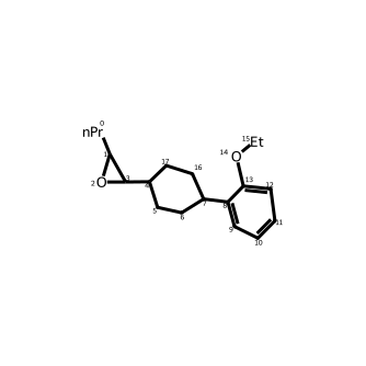 CCCC1OC1C1CCC(c2ccccc2OCC)CC1